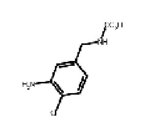 Nc1cc(CNC(=O)O)ccc1Cl